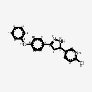 Clc1ccc(C2CC(c3ccc(Oc4ccccc4)cc3)=NN2)cn1